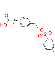 Cc1ccc(S(=O)(=O)OCCc2ccc(C(C)(C)C(=O)O)cc2)cc1